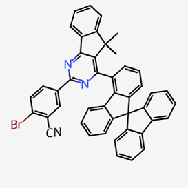 CC1(C)c2ccccc2-c2nc(-c3ccc(Br)c(C#N)c3)nc(-c3cccc4c3-c3ccccc3C43c4ccccc4-c4ccccc43)c21